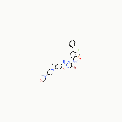 CCc1cc(Nc2ncc(Br)c(Nc3ccc(-c4ccccc4)c(F)c3P(C)(C)=O)n2)c(OC)cc1N1CCC(N2CCOCC2)CC1